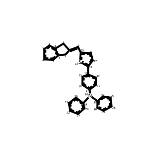 C(=C1Cc2ccccc2C1)c1ccc(-c2ccc(N(c3ccccc3)c3ccccc3)cc2)s1